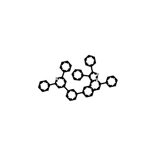 c1ccc(-c2cc(-c3cccc(-c4ccc5cc(-c6ccccc6)n6nc(-c7ccccc7)c(-c7ccccc7)c6c5c4)c3)cc(-c3ccccc3)n2)cc1